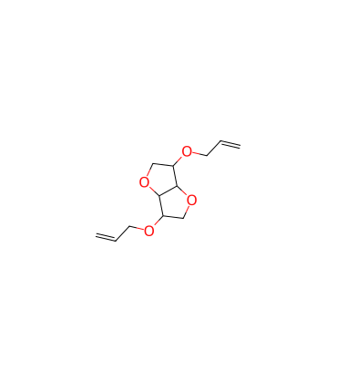 C=CCOC1COC2C(OCC=C)COC12